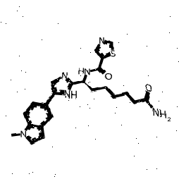 Cn1ccc2cc(-c3cnc([C@H](CCCCCC(N)=O)NC(=O)c4cncs4)[nH]3)ccc21